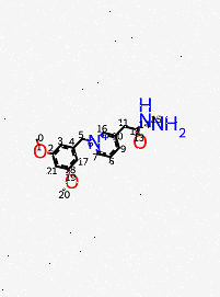 COc1cc(C[n+]2cccc(CC(=O)NN)c2)cc(OC)c1